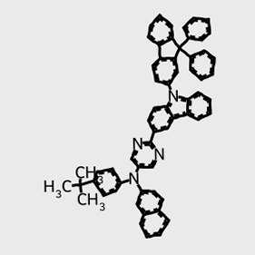 CC(C)(C)c1ccc(N(c2cnc(-c3ccc4c(c3)c3ccccc3n4-c3ccc4c(c3)C(c3ccccc3)(c3ccccc3)c3ccccc3-4)nc2)c2ccc3ccccc3c2)cc1